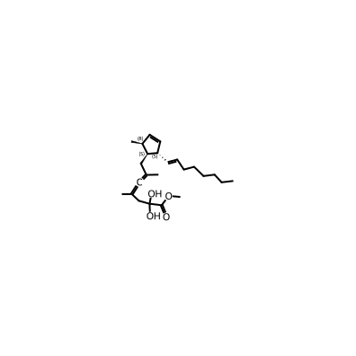 CCCCCCC=C[C@H]1C=C[C@H](C)[C@@H]1CC(C)=C=C(C)CC(O)(O)C(=O)OC